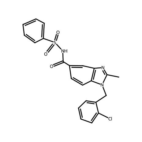 Cc1nc2cc(C(=O)NS(=O)(=O)c3ccccc3)ccc2n1Cc1ccccc1Cl